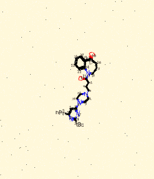 CCCc1cc(N2CCN(CCCC(=O)N3CCCC(=O)c4ccccc43)CC2)nc(C(C)(C)C)n1